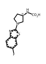 O=C(O)N[C@@H]1CCN(c2nc3ccc(F)cc3s2)C1